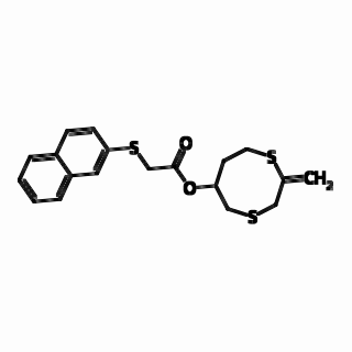 C=C1CSCC(OC(=O)CSc2ccc3ccccc3c2)CCS1